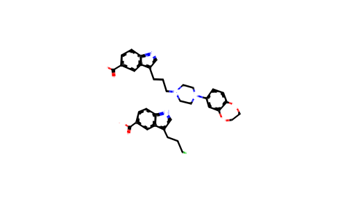 O=C(O)c1ccc2[nH]cc(CCCCl)c2c1.O=C(O)c1ccc2[nH]cc(CCCN3CCN(c4ccc5c(c4)OCCO5)CC3)c2c1